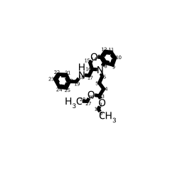 CCOC(CCCN1c2ccccc2OCC1CNCc1ccccc1)OCC